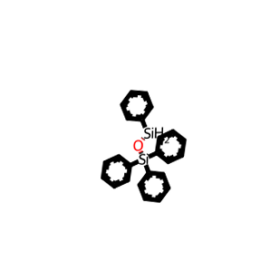 c1ccc([SiH2]O[Si](c2ccccc2)(c2ccccc2)c2ccccc2)cc1